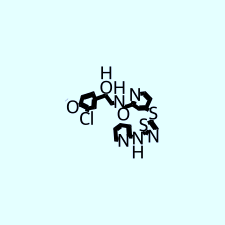 COc1ccc(C(O)CNC(=O)c2cc(Sc3cnc(Nc4ccccn4)s3)ccn2)cc1Cl